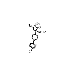 C=CCCC(NC(C)=O)(C(=O)NC(C)(C)C)C1CCN(c2ccc(Cl)cn2)CC1